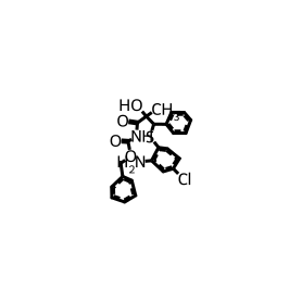 CC(O)(C(=O)NC(=O)OCc1ccccc1)C(Sc1ccc(Cl)cc1N)c1ccccc1